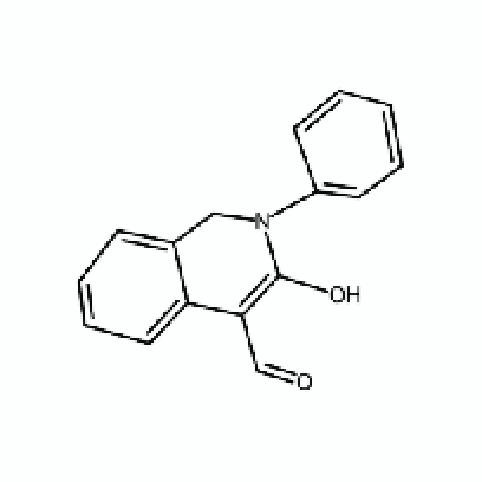 O=CC1=C(O)N(c2ccccc2)Cc2ccccc21